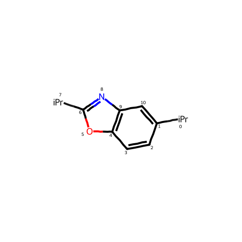 CC(C)c1ccc2oc(C(C)C)nc2c1